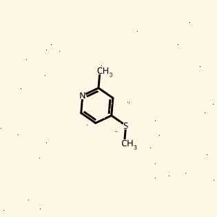 CSc1ccnc(C)c1